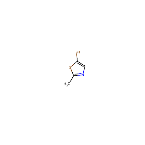 Cc1ncc(S)s1